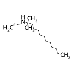 C=CCNC(C)(C)CCCCCCCCCCC